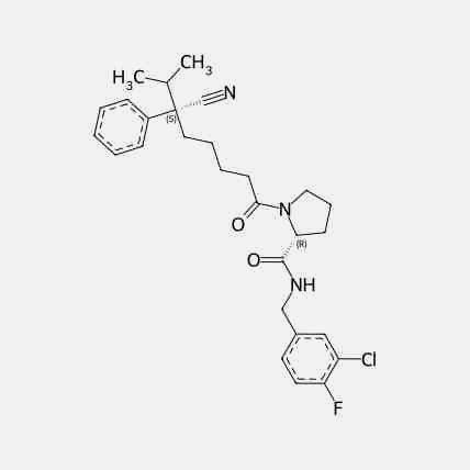 CC(C)[C@@](C#N)(CCCCC(=O)N1CCC[C@@H]1C(=O)NCc1ccc(F)c(Cl)c1)c1ccccc1